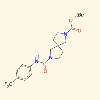 CC(C)(C)OC(=O)N1CCC2(CCN(C(=O)Nc3ccc(C(F)(F)F)cc3)C2)C1